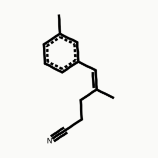 CC(=Cc1cccc(C)c1)CCC#N